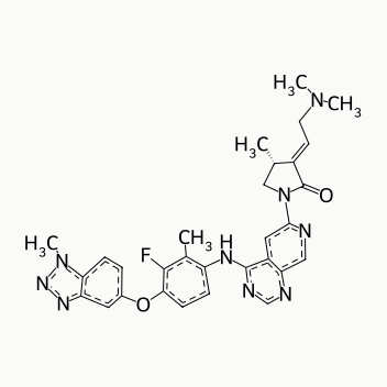 Cc1c(Nc2ncnc3cnc(N4C[C@H](C)/C(=C\CN(C)C)C4=O)cc23)ccc(Oc2ccc3c(c2)nnn3C)c1F